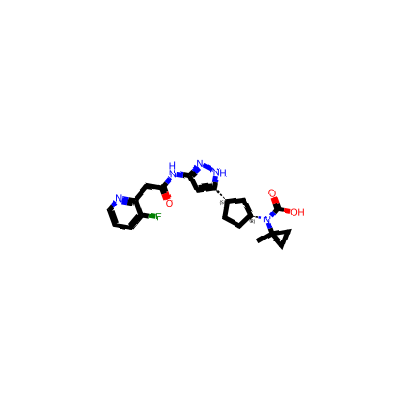 CC1(N(C(=O)O)[C@@H]2CC[C@H](c3cc(NC(=O)Cc4ncccc4F)n[nH]3)C2)CC1